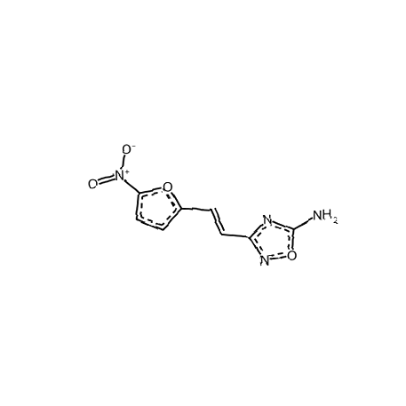 Nc1nc(/C=C/c2ccc([N+](=O)[O-])o2)no1